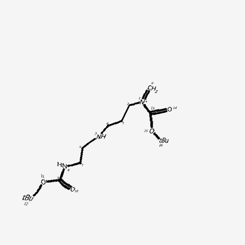 C=[N+](CCCNCCNC(=O)OC(C)(C)C)C(=O)OC(C)(C)C